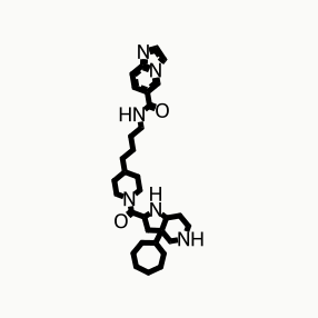 O=C(NCCCCC1CCN(C(=O)C2CC3(C4CCCCCC4)CNCCC3N2)CC1)c1ccc2nccn2c1